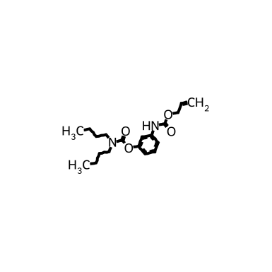 C=CCOC(=O)Nc1cccc(OC(=O)N(CCCC)CCCC)c1